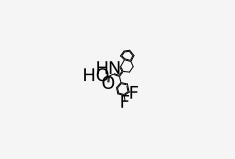 O=C(O)c1[nH]c2c(c1-c1ccc(F)c(F)c1)CCc1ccccc1-2